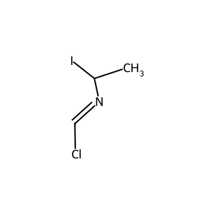 CC(I)/N=C/Cl